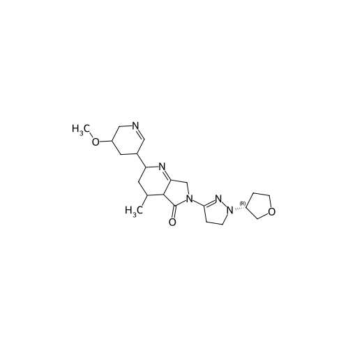 COC1CN=CC(C2CC(C)C3C(=O)N(C4=NN([C@@H]5CCOC5)CC4)CC3=N2)C1